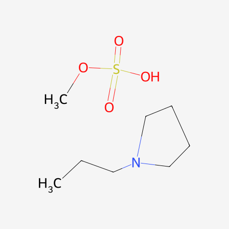 CCCN1CCCC1.COS(=O)(=O)O